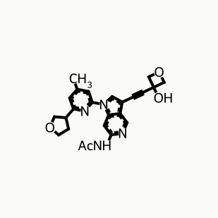 CC(=O)Nc1cc2c(cn1)c(C#CC1(O)COC1)cn2-c1cc(C)cc(C2CCOC2)n1